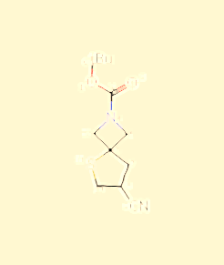 CC(C)(C)OC(=O)N1CC2(CC(C#N)CS2)C1